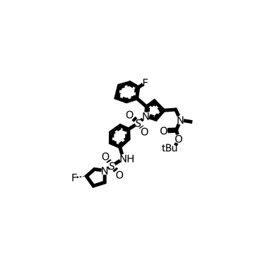 CN(Cc1cc(-c2ccccc2F)n(S(=O)(=O)c2cccc(NS(=O)(=O)N3CC[C@H](F)C3)c2)c1)C(=O)OC(C)(C)C